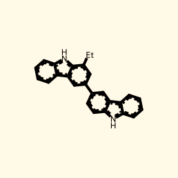 CCc1cc(-c2ccc3[nH]c4ccccc4c3c2)cc2c1[nH]c1ccccc12